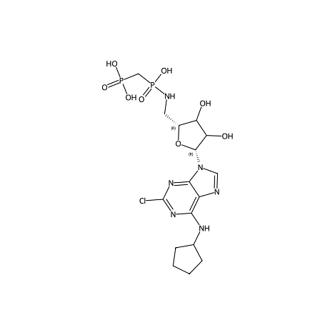 O=P(O)(O)CP(=O)(O)NC[C@H]1O[C@@H](n2cnc3c(NC4CCCC4)nc(Cl)nc32)C(O)C1O